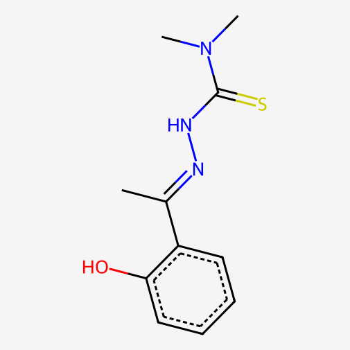 C/C(=N\NC(=S)N(C)C)c1ccccc1O